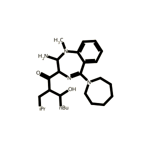 CCCCC(O)C(CC(C)C)C(=O)C1N=C(N2CCCCCC2)c2ccccc2N(C)C1N